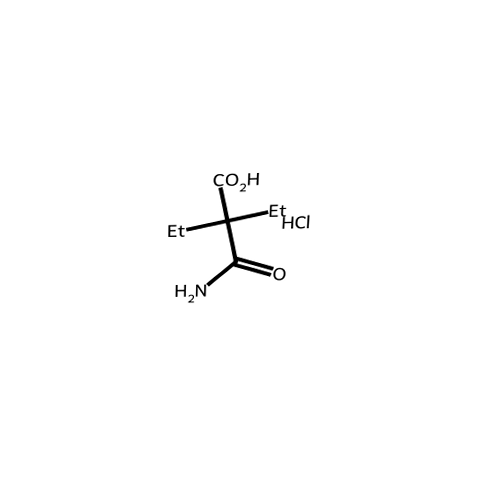 CCC(CC)(C(N)=O)C(=O)O.Cl